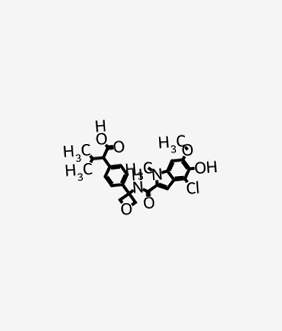 COc1cc2c(cc(C(=O)NC3(c4ccc(C(C(=O)O)C(C)C)cc4)COC3)n2C)c(Cl)c1O